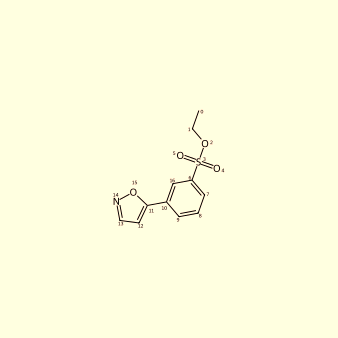 CCOS(=O)(=O)c1cccc(-c2ccno2)c1